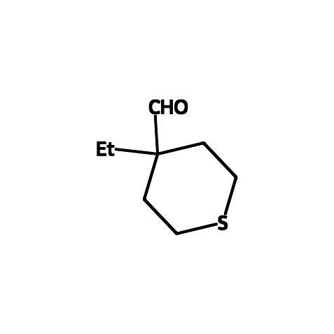 CCC1(C=O)CCSCC1